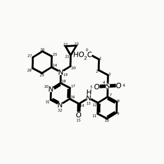 O=C(O)CCCS(=O)(=O)c1ccccc1NC(=O)c1cc(N(CC2CC2)C2CCCCC2)ncn1